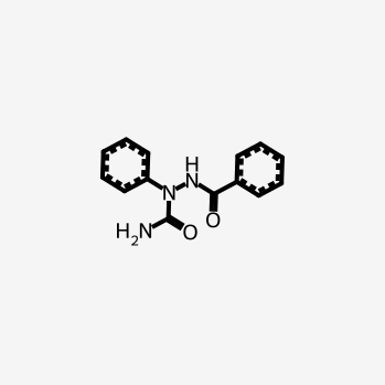 NC(=O)N(NC(=O)c1ccccc1)c1ccccc1